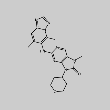 Cc1cc2ncnn2c(C)c1Nc1ncc2c(n1)n(C1CCOCC1)c(=O)n2C